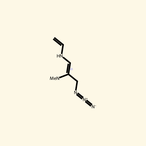 C=CN/C=C(/CN=[N+]=[N-])NC